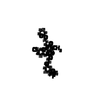 Cn1c(=O)n(CCCOC2CCCCO2)c(=O)c2c1nc(OCCOc1cccc(OC(F)(F)F)c1)n2CC1=CC=C(Cl)CC1